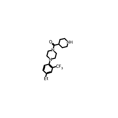 CCc1ccc(N2CCN(C(=O)C3CCNCC3)CC2)c(C(F)(F)F)c1